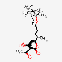 CC(=O)c1c(O)cc(C(C)CCCO[Si](C)(C)C(C)(C)C)oc1=O